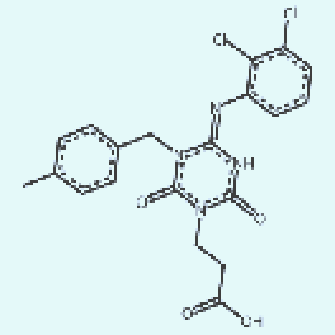 Cc1ccc(Cn2c(=O)n(CCC(=O)O)c(=O)[nH]/c2=N\c2cccc(Cl)c2Cl)cc1